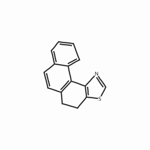 c1ccc2c3c(ccc2c1)CCc1scnc1-3